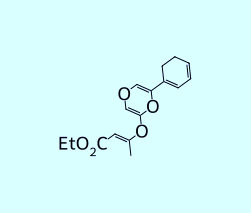 CCOC(=O)C=C(C)OC1=COC=C(C2=CC=CCC2)O1